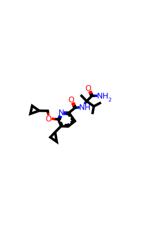 CC(C)C(C)(NC(=O)c1ccc(C2CC2)c(OCC2CC2)n1)C(N)=O